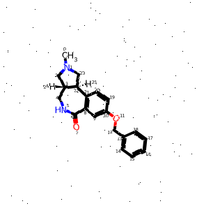 CN1C[C@H]2CNC(=O)c3cc(OCc4ccccc4)ccc3[C@@H]2C1